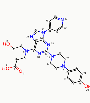 O=C(O)CCN(CCO)c1nc(N2CCN(c3ccc(O)cc3)CC2)nc2c1ncn2-c1ccncc1